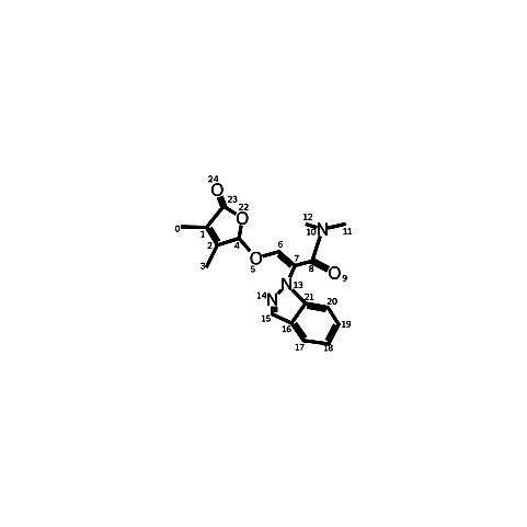 CC1=C(C)C(O/C=C(/C(=O)N(C)C)n2ncc3ccccc32)OC1=O